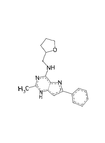 Cc1nc(NCC2CCCO2)c2nc(-c3ccccc3)cc-2[nH]1